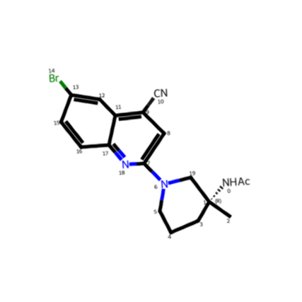 CC(=O)N[C@]1(C)CCCN(c2cc(C#N)c3cc(Br)ccc3n2)C1